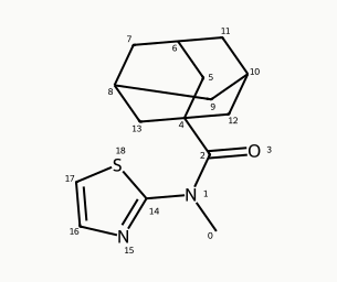 CN(C(=O)C12CC3CC(CC(C3)C1)C2)c1nccs1